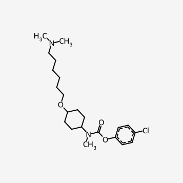 CN(C)CCCCCCOC1CCC(N(C)C(=O)Oc2ccc(Cl)cc2)CC1